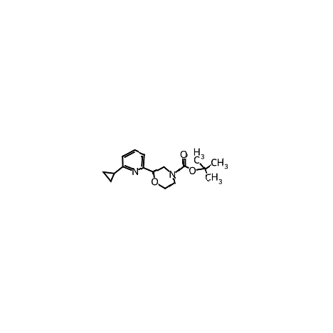 CC(C)(C)OC(=O)N1CCOC(c2cccc(C3CC3)n2)C1